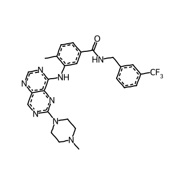 Cc1ccc(C(=O)NCc2cccc(C(F)(F)F)c2)cc1Nc1ncnc2cnc(N3CCN(C)CC3)nc12